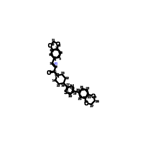 O=C(/C=C/c1ccc2c(c1)OCO2)N1CCC(c2nc(-c3ccc4c(c3)OCCO4)cs2)CC1